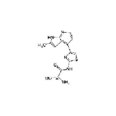 Cc1cc2c(-c3csc(NC(=O)[C@H](N)C(C)(C)C)n3)ccnc2[nH]1